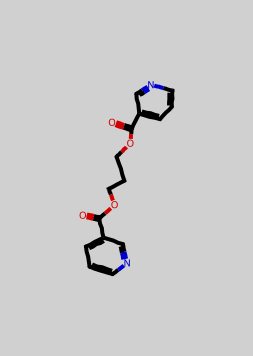 O=C(OCCCOC(=O)c1cccnc1)c1cccnc1